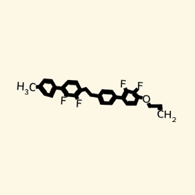 C=CCOc1ccc(-c2ccc(CCc3ccc(-c4ccc(C)cc4)c(F)c3F)cc2)c(F)c1F